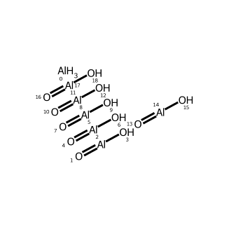 [AlH3].[O]=[Al][OH].[O]=[Al][OH].[O]=[Al][OH].[O]=[Al][OH].[O]=[Al][OH].[O]=[Al][OH]